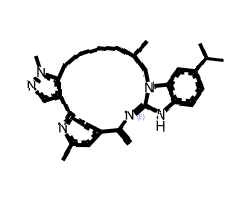 C=C1/N=C2\Nc3ccc(C(C)C)cc3N2CC(C)CCCCc2c(cnn2C)-c2cc1cc(C)n2